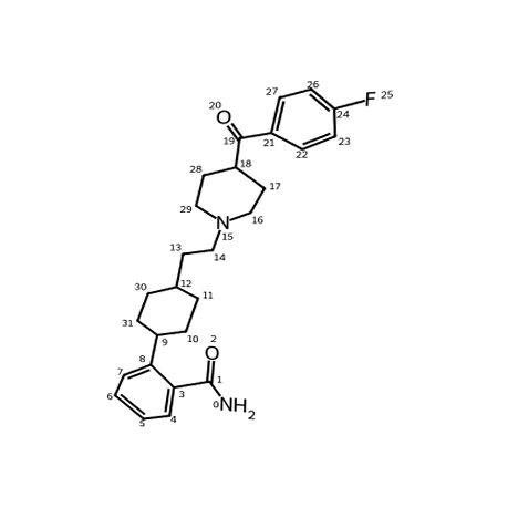 NC(=O)c1ccccc1C1CCC(CCN2CCC(C(=O)c3ccc(F)cc3)CC2)CC1